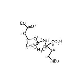 CCC(=O)O[C@@H](C)OC(=O)N[C@@](C)(CC[C@H](C)CC)C(=O)O